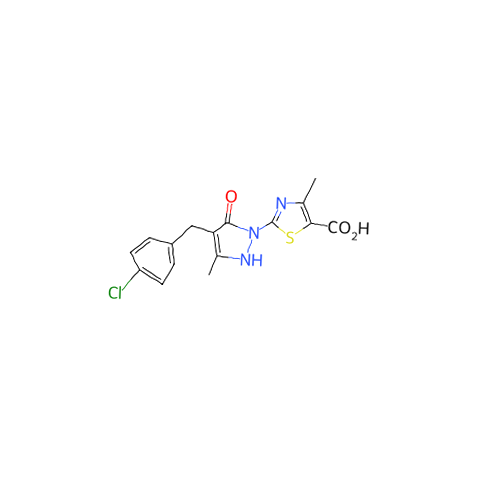 Cc1nc(-n2[nH]c(C)c(Cc3ccc(Cl)cc3)c2=O)sc1C(=O)O